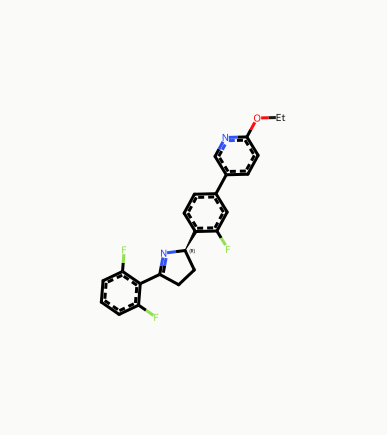 CCOc1ccc(-c2ccc([C@H]3CCC(c4c(F)cccc4F)=N3)c(F)c2)cn1